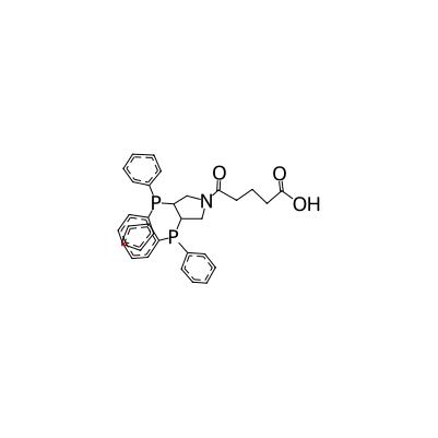 O=C(O)CCCC(=O)N1CC(P(c2ccccc2)c2ccccc2)C(P(c2ccccc2)c2ccccc2)C1